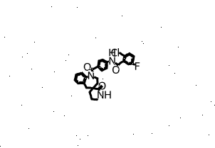 O=C(Nc1ccc(C(=O)N2CCC3(CCCNC3=O)Cc3ccccc32)cc1)c1cc(F)ccc1Cl